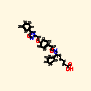 O=C(O)CCCC/C(=N/OCc1ccc(OCc2noc(-c3ccccc3)n2)cc1)c1ccccc1